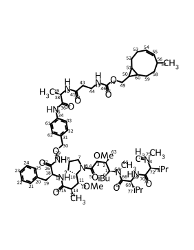 CC[C@H](C)[C@@H]([C@@H](CC(=O)N1CCC[C@H]1[C@H](OC)[C@@H](C)C(=O)N[C@@H](Cc1ccccc1)C(=O)NOCc1ccc(NC(=O)[C@@H](C)NC(=O)CCNC(=O)OCC2C3CC/C=C\C(C)CCC32)cc1)OC)N(C)C(=O)[C@@H](NC(=O)[C@H](C(C)C)N(C)C)C(C)C